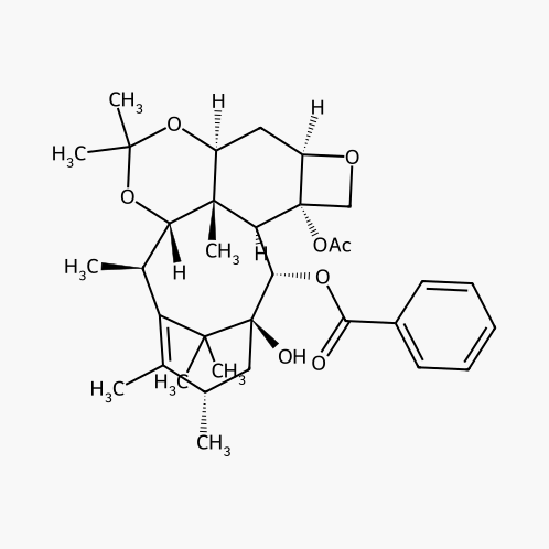 CC(=O)O[C@@]12CO[C@@H]1C[C@@H]1OC(C)(C)O[C@H]3[C@H](C)C4=C(C)[C@@H](C)C[C@@](O)([C@@H](OC(=O)c5ccccc5)[C@H]2[C@@]13C)C4(C)C